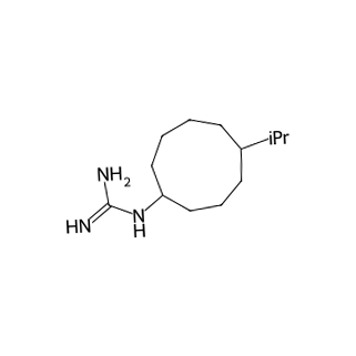 CC(C)C1CCCCC(NC(=N)N)CCC1